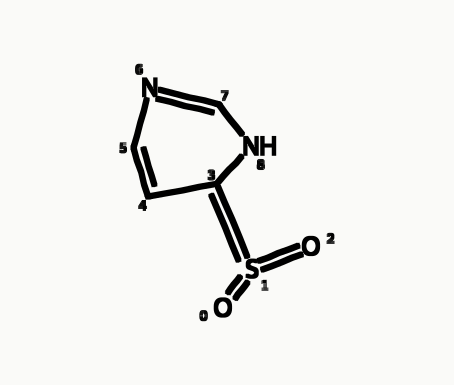 O=S(=O)=c1ccnc[nH]1